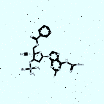 C#C[C@]1(COC(=O)c2ccccc2)O[C@@H](n2cnc3c(NC(=O)CCCCCCCCC)nc(F)nc32)CC1O[Si](C)(C)C(C)(C)C